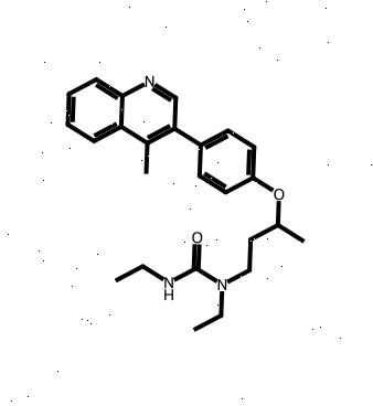 CCNC(=O)N(CC)CCC(C)Oc1ccc(-c2cnc3ccccc3c2C)cc1